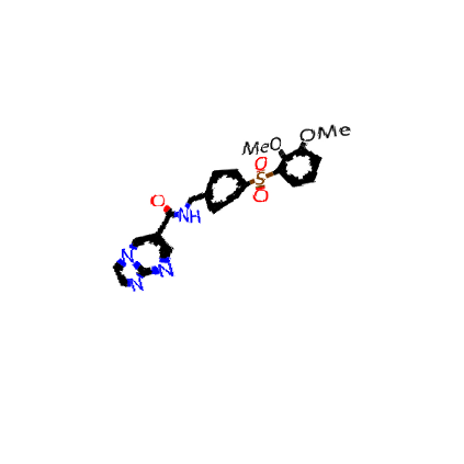 COc1cccc(S(=O)(=O)c2ccc(CNC(=O)c3cnc4nccn4c3)cc2)c1OC